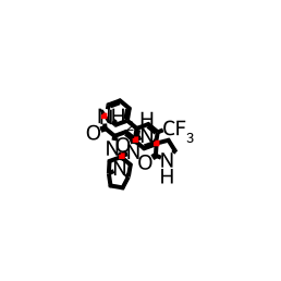 NC(=O)c1cc(NC2CCNC2=O)nc(N2C3CCC2CC(Oc2ccc(C(F)(F)F)cc2-c2cccnc2)C3)n1